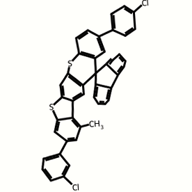 Cc1cc(-c2cccc(Cl)c2)cc2sc3cc4c(cc3c12)C1(c2cc(-c3ccc(Cl)cc3)ccc2S4)c2ccccc2-c2ccccc21